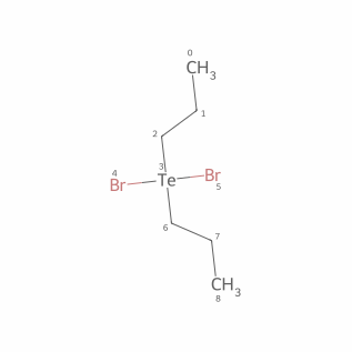 CCC[Te](Br)(Br)CCC